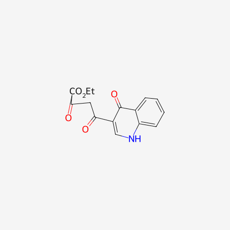 CCOC(=O)C(=O)CC(=O)c1c[nH]c2ccccc2c1=O